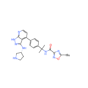 CC(C)(C)c1nc(C(=O)NC(C)(C)c2ccc(-c3ccnc4[nH]nc(N[C@@H]5CCNC5)c34)cc2)no1